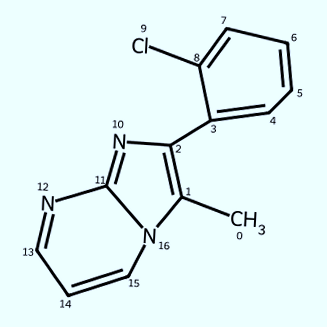 Cc1c(-c2ccccc2Cl)nc2ncccn12